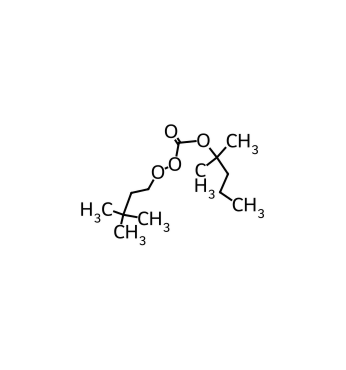 CCCC(C)(C)OC(=O)OOCCC(C)(C)C